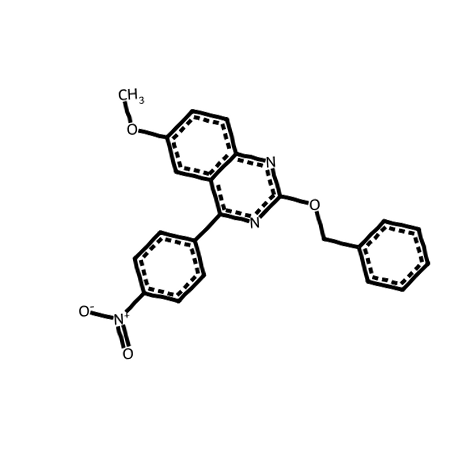 COc1ccc2nc(OCc3ccccc3)nc(-c3ccc([N+](=O)[O-])cc3)c2c1